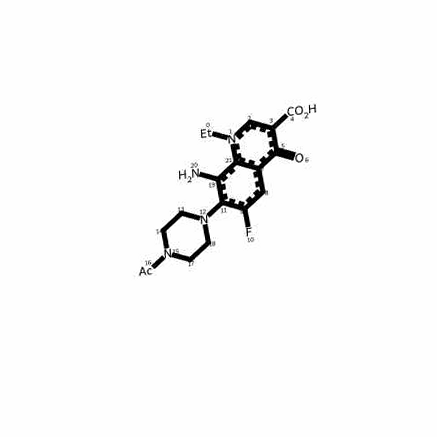 CCn1cc(C(=O)O)c(=O)c2cc(F)c(N3CCN(C(C)=O)CC3)c(N)c21